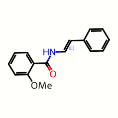 COc1ccccc1C(=O)N/C=C/c1ccccc1